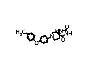 Cc1ccc(Oc2ccc(N3CCC4(CC3)NC(=O)NC4=O)cc2)cc1